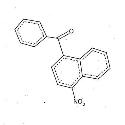 O=C(c1ccccc1)c1ccc([N+](=O)[O-])c2ccccc12